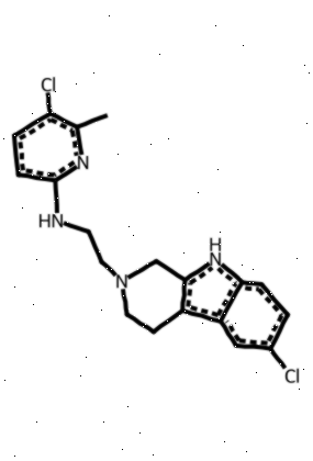 Cc1nc(NCCN2CCc3c([nH]c4ccc(Cl)cc34)C2)ccc1Cl